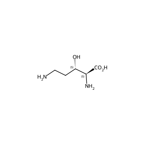 NCC[C@H](O)[C@H](N)C(=O)O